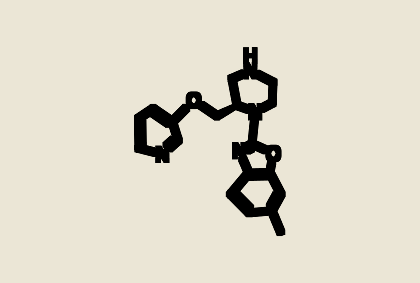 Cc1ccc2nc(N3CCNC[C@@H]3COc3cccnc3)oc2c1